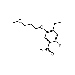 CCc1cc(F)c([N+](=O)[O-])cc1OCCCOC